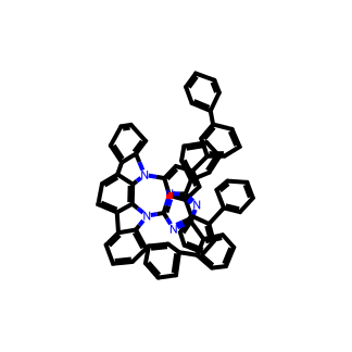 c1ccc(-c2cccc(-c3cc(-c4ccccc4-c4ccccc4)cc(-n4c5ccccc5c5ccc6c7ccccc7n(-c7nc(-c8ccccc8)nc(-c8ccccc8-c8ccccc8)n7)c6c54)c3)c2)cc1